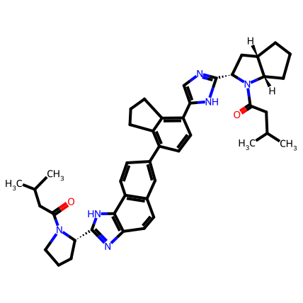 CC(C)CC(=O)N1CCC[C@H]1c1nc2ccc3cc(-c4ccc(-c5cnc([C@@H]6C[C@@H]7CCC[C@@H]7N6C(=O)CC(C)C)[nH]5)c5c4CCC5)ccc3c2[nH]1